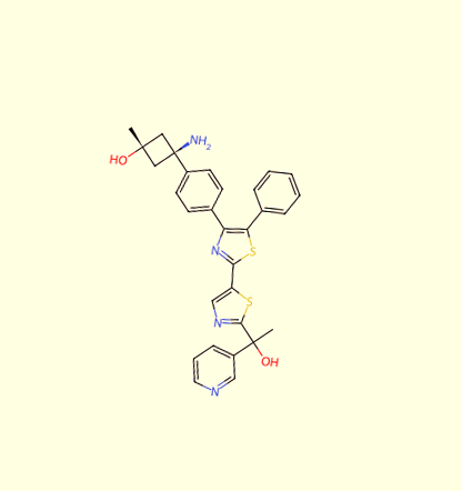 CC(O)(c1cccnc1)c1ncc(-c2nc(-c3ccc([C@]4(N)C[C@](C)(O)C4)cc3)c(-c3ccccc3)s2)s1